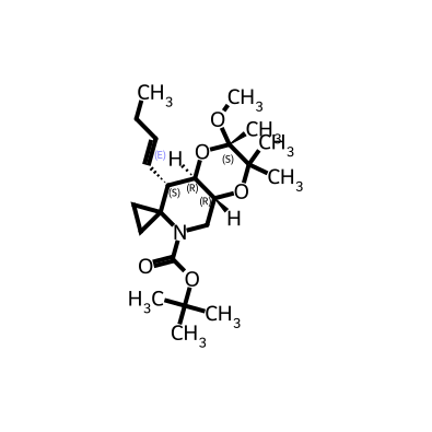 CC/C=C/[C@@H]1[C@H]2O[C@](C)(OC)C(C)(C)O[C@@H]2CN(C(=O)OC(C)(C)C)C12CC2